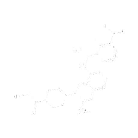 COc1cc2nccc(N[C@H](C)c3cccc(C(F)F)c3F)c2cc1C1=CCN(C(=O)OC(C)(C)C)CC1